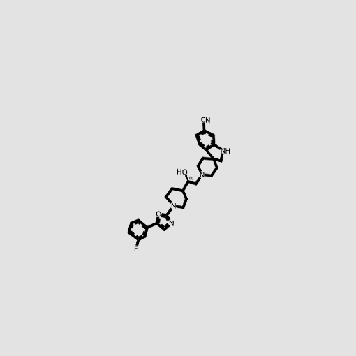 N#Cc1ccc2c(c1)NCC21CCN(C[C@H](O)C2CCN(c3ncc(-c4cccc(F)c4)o3)CC2)CC1